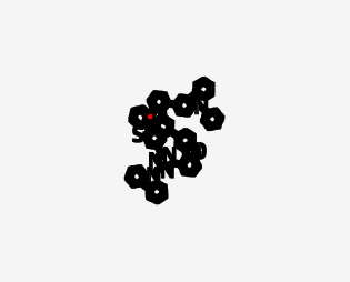 c1ccc(-n2c3ccccc3c3cc(-c4cccc5sc6ccc(-c7ccc8oc9cccc(-c%10nc(-c%11ccc%12c(c%11)sc%11ccccc%11%12)nc(-n%11c%12ccccc%12c%12ccccc%12%11)n%10)c9c8c7)cc6c45)ccc32)cc1